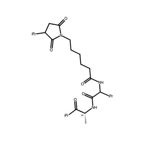 CC(C)C(=O)[C@@H](C)NC(=O)C(NC(=O)CCCCCN1C(=O)CC(C(C)C)C1=O)C(C)C